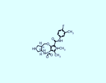 Cc1cc(NC(=O)c2c3c(c(C)n2C)S(=O)(=O)N[C@H]2CNC[C@H]2CO3)ccc1F